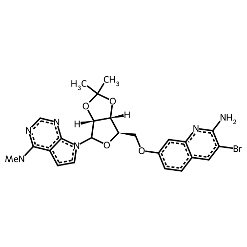 CNc1ncnc2c1ccn2C1O[C@H](COc2ccc3cc(Br)c(N)nc3c2)[C@H]2OC(C)(C)O[C@@H]12